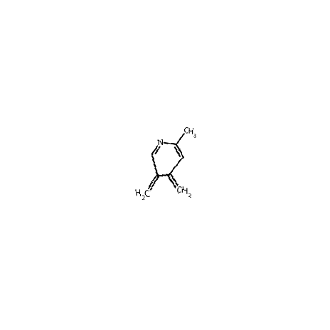 C=c1cnc(C)cc1=C